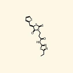 CCc1nnc(NC(=O)CCN2C(=O)/C(=C/c3cccs3)SC2=S)s1